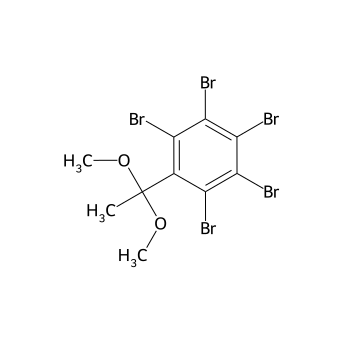 COC(C)(OC)c1c(Br)c(Br)c(Br)c(Br)c1Br